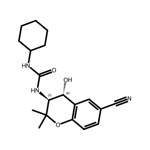 CC1(C)Oc2ccc(C#N)cc2[C@@H](O)[C@@H]1NC(=O)NC1CCCCC1